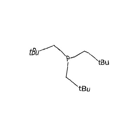 CC(C)(C)CP(CC(C)(C)C)CC(C)(C)C